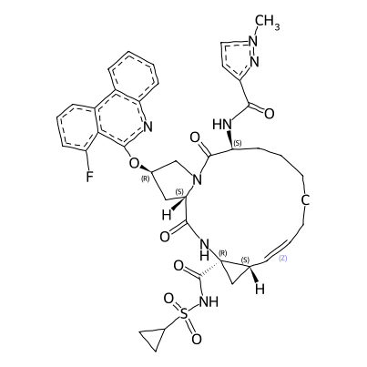 Cn1ccc(C(=O)N[C@H]2CCCCC/C=C\[C@@H]3C[C@@]3(C(=O)NS(=O)(=O)C3CC3)NC(=O)[C@@H]3C[C@@H](Oc4nc5ccccc5c5cccc(F)c45)CN3C2=O)n1